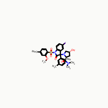 COc1ccc(S(=O)(=O)N2C(=O)C(c3cc(C)ccc3OC)(N3C[C@H](O)C[C@H]3C(=O)N(C)C)c3cc(I)ccc32)c(OC(F)(F)F)c1